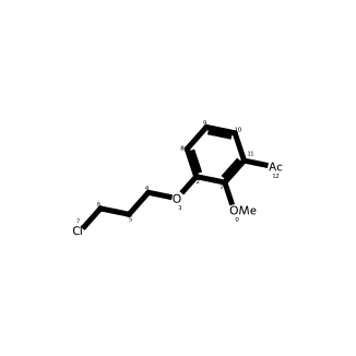 COc1c(OCCCCl)cccc1C(C)=O